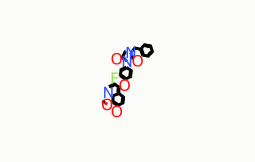 COc1ccc2c(Oc3ccc(N4C(=O)CN(Cc5ccccc5)C4=O)cc3F)ccnc2c1OC